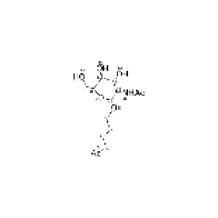 CC(=O)CCCCO[C@@H]1OC(CO)[C@@H](O)C(O)C1NC(C)=O